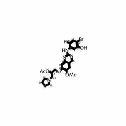 COc1cc2cnc(Nc3cc(O)c(Br)cc3F)nc2cc1OCC(CN1CCCC1)OC(C)=O